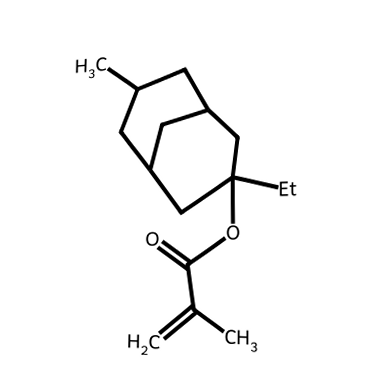 C=C(C)C(=O)OC1(CC)CC2CC(C)CC(C2)C1